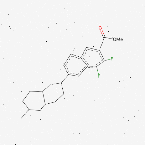 COC(=O)c1cc2ccc(C3CCC4CC(C)CCC4C3)cc2c(F)c1F